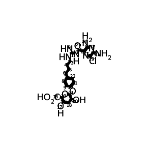 N=C(NCCCCc1ccc(OC2OC(C(=O)O)[C@@H](O)C[C@H]2O)cc1)NC(=O)c1nc(Cl)c(N)nc1N